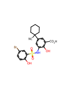 N#CC1(c2cc(NS(=O)(=O)c3cc(Br)ccc3O)c(O)c(C(=O)O)c2)CCCCC1